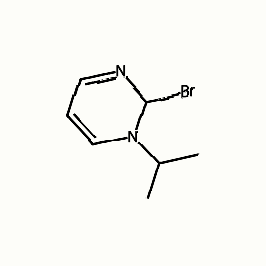 CC(C)N1C=CC=NC1Br